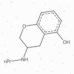 CCCNC1COc2cccc(O)c2C1